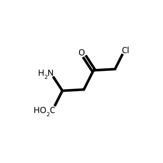 NC(CC(=O)CCl)C(=O)O